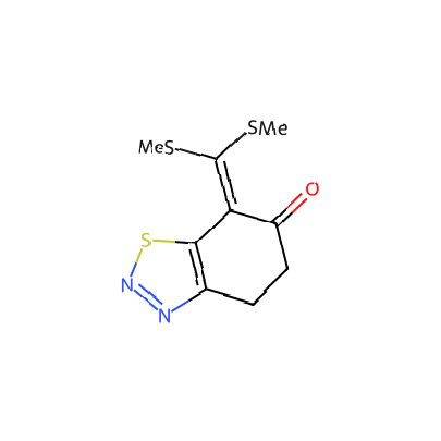 CSC(SC)=C1C(=O)CCc2nnsc21